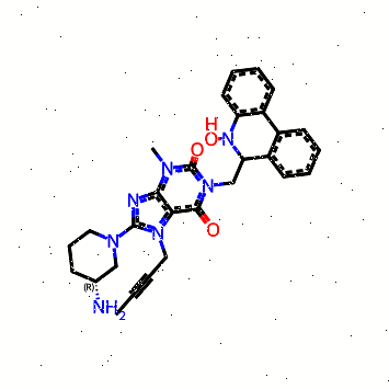 CC#CCn1c(N2CCC[C@@H](N)C2)nc2c1c(=O)n(CC1c3ccccc3-c3ccccc3N1O)c(=O)n2C